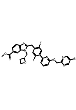 COC(=O)c1ccc2nc(Cc3cc(F)c(-c4cccc(OCc5ncc(Br)cn5)n4)cc3F)n(C[C@@H]3CCO3)c2c1